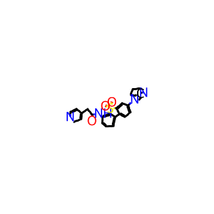 O=C(Cc1ccncc1)Nc1cccc2c1S(=O)(=O)c1cc(N3CCN4CCC3CC4)ccc1-2